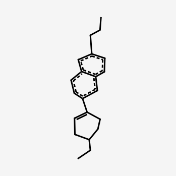 CCCc1ccc2cc(C3=CCC(CC)CC3)ccc2c1